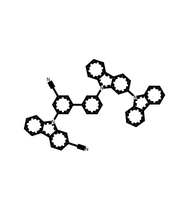 N#Cc1cc(-c2cccc(-n3c4ccccc4c4ccc(-n5c6ccccc6c6ccccc65)cc43)c2)cc(-n2c3ccccc3c3ccc(C#N)cc32)c1